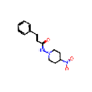 O=C(C=Cc1ccccc1)NN1CCC([N+](=O)[O-])CC1